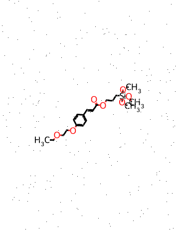 CCOCCOc1ccc(C=CC(=O)OCCC[Si](OC)(OC)OC)cc1